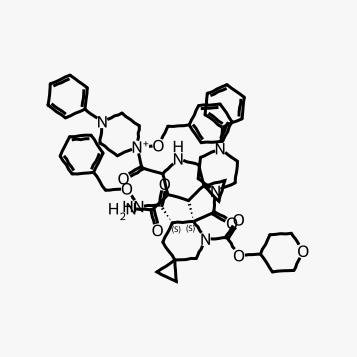 NC(=O)C1C(C(=O)[N+]2(OCc3ccccc3)CCN(c3ccccc3)CC2)NCC2(CC2)C1[C@@]1(C(=O)N2CCN(c3ccccc3)CC2)[C@@H](C(=O)NOCc2ccccc2)CC2(CC2)CN1C(=O)OC1CCOCC1